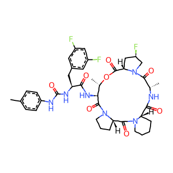 Cc1ccc(NC(=O)N[C@@H](Cc2cc(F)cc(F)c2)C(=O)N[C@@H]2C(=O)N3CCC[C@H]3C(=O)N3CCCC[C@H]3C(=O)N[C@@H](C)C(=O)N3C[C@H](F)C[C@H]3C(=O)O[C@H]2C)cc1